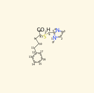 Cn1ccnc1CSC(CCCc1ccccc1)C(=O)O